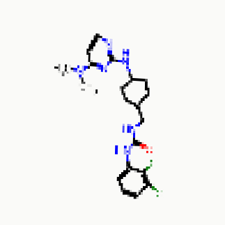 CN(C)c1ccnc(NC2CCC(CNC(=O)Nc3cccc(Cl)c3Cl)CC2)n1